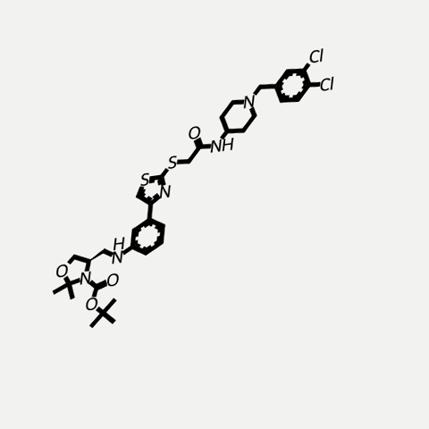 CC(C)(C)OC(=O)N1[C@H](CNc2cccc(-c3csc(SCC(=O)NC4CCN(Cc5ccc(Cl)c(Cl)c5)CC4)n3)c2)COC1(C)C